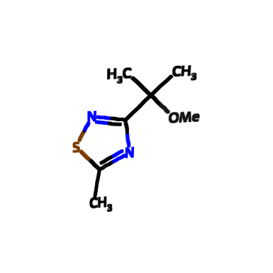 COC(C)(C)c1nsc(C)n1